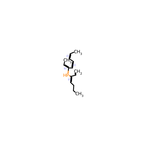 C=C/C(=C\CCC)PC(/C=C\C=C/C)=C/C